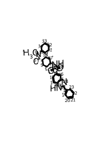 CN(C(=O)[C@H]1CC[C@H](NS(=O)(=O)c2ccc3[nH]c(-c4ccccc4)nc3c2)CC1)C1CCCCC1